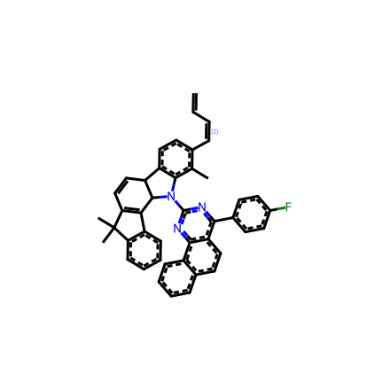 C=C/C=C\c1ccc2c(c1C)N(c1nc(-c3ccc(F)cc3)c3ccc4ccccc4c3n1)C1C3=C(C=CC21)C(C)(C)c1ccccc13